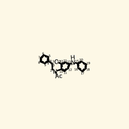 CC(=O)N(CCc1ccccc1)c1ccc(Nc2ccccc2)cc1C